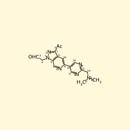 CC(=O)c1nn(CC=O)c2cnc(-c3cnc(CN(C)C)nc3)cc12